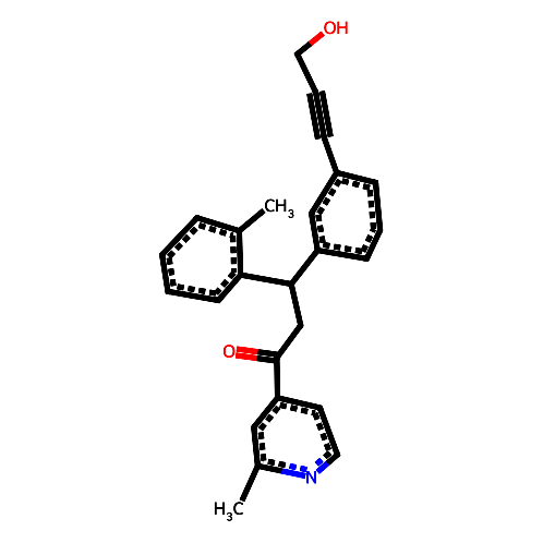 Cc1cc(C(=O)CC(c2cccc(C#CCO)c2)c2ccccc2C)ccn1